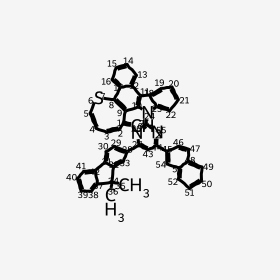 C=C1/C=C\C=C/CSc2c1c1c(c3ccccc23)c2ccccc2n1-c1nc(-c2ccc3c(c2)C(C)(C)c2ccccc2-3)cc(-c2ccc3ccccc3c2)n1